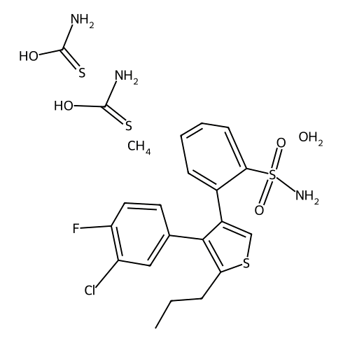 C.CCCc1scc(-c2ccccc2S(N)(=O)=O)c1-c1ccc(F)c(Cl)c1.NC(O)=S.NC(O)=S.O